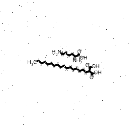 CCCCCCCCCCCCCCCCCC(C(=O)O)C(=O)O.NCCCC[C@H](N)C(=O)O